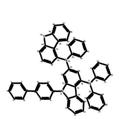 c1ccc(-c2ccc(-n3c4ccccc4c4c(N(c5ccccc5)c5ccccc5)cc(N(c5ccccc5)c5cccc6sc7ccccc7c56)cc43)cc2)cc1